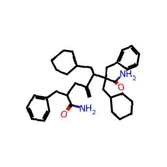 C=C(CC(Cc1ccccc1)C(N)=O)C(CC1CCCCC1)C(Cc1ccccc1)(CC1CCCCC1)C(N)=O